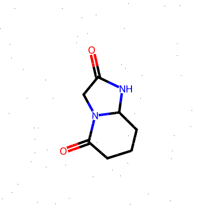 O=C1CN2C(=O)CCCC2N1